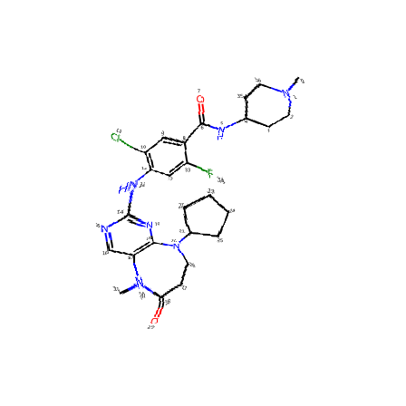 CN1CCC(NC(=O)c2cc(Cl)c(Nc3ncc4c(n3)N(C3CCCC3)CCC(=O)N4C)cc2F)CC1